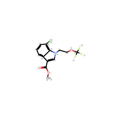 COC(=O)c1cn(CCOC(F)(F)F)c2c(Cl)cccc12